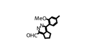 COc1cc(C)ccc1-c1nnc(C=O)c2c1CCC2